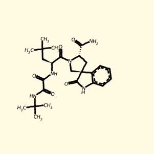 CC(C)(C)C[C@H](NC(=O)C(=O)NC(C)(C)C)C(=O)N1C[C@]2(C[C@H]1C(N)=O)C(=O)Nc1ccccc12